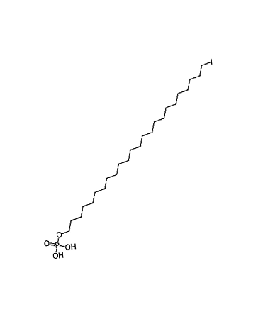 O=P(O)(O)OCCCCCCCCCCCCCCCCCCCCCCCCI